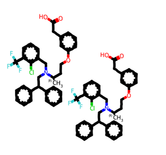 C[C@H](CCOc1cccc(CC(=O)O)c1)N(Cc1cccc(C(F)(F)F)c1Cl)CC(c1ccccc1)c1ccccc1.C[C@H](CCOc1cccc(CC(=O)O)c1)N(Cc1cccc(C(F)(F)F)c1Cl)CC(c1ccccc1)c1ccccc1